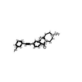 CCCN1CCc2nc3cc(C#Cc4cccc(F)c4)ccc3c(=O)n2CC1